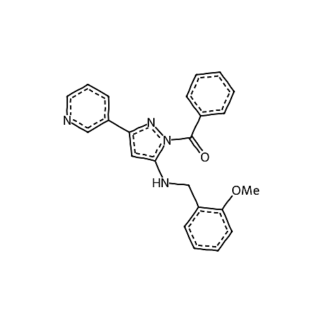 COc1ccccc1CNc1cc(-c2cccnc2)nn1C(=O)c1ccccc1